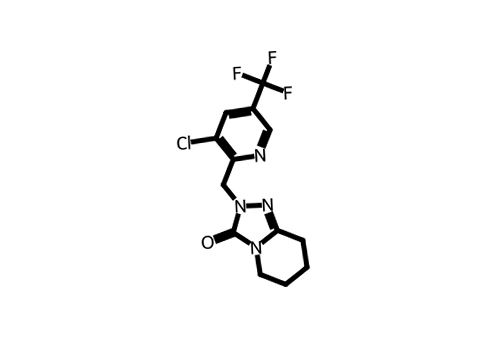 O=c1n(Cc2ncc(C(F)(F)F)cc2Cl)nc2n1CCCC2